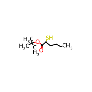 CCCCC(S)C(=O)OC(C)(C)C